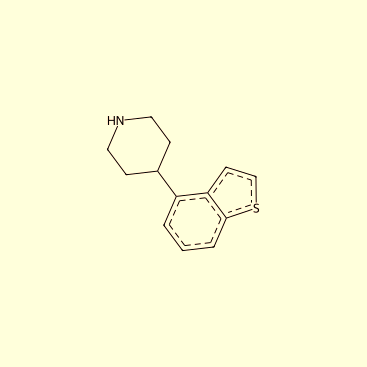 c1cc(C2CCNCC2)c2ccsc2c1